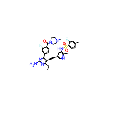 CCc1nc(N)nc(-c2ccc(C(=O)N3CCN(C)CC3)c(F)c2)c1C#Cc1cnc(C)c(NS(=O)(=O)c2ccc(C)cc2F)c1